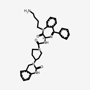 NCCCCN1C(=O)[C@H](NC(=O)N2CCC(N3Cc4ccccc4NC3=O)CC2)N=C(c2ccccc2)c2ccccc21